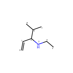 C=CC(NCC)C(C)C